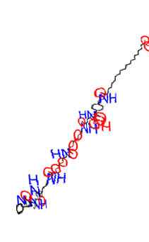 CN[C@@H](CCCCNC(=O)COCCOCCNC(=O)COCCOCCNC(=O)CCC(NC(=O)C1CCC(CNC(=O)CCCCCCCCCCCCCCCCCCC(=O)O)CC1)C(=O)O)C(=O)CN[C@@H](Cc1ccc(C)cc1)C(N)=O